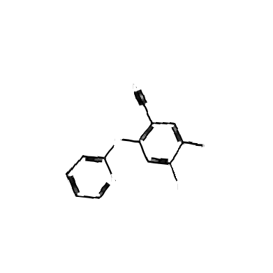 N#Cc1cc(F)c(F)cc1Oc1ccccn1